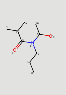 CCCN(C(=O)C(C)C)C(C)[O]